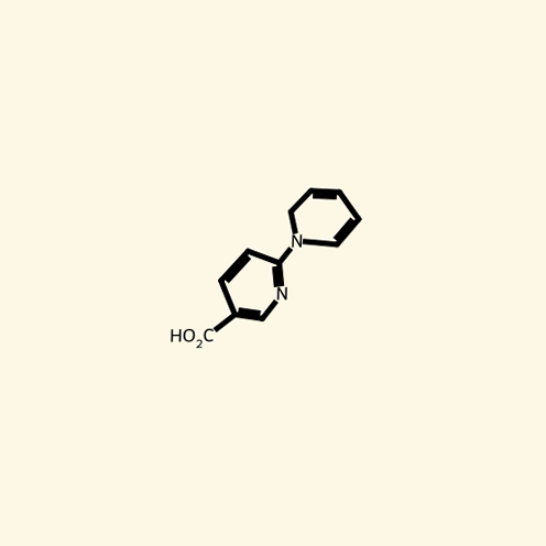 O=C(O)c1ccc(N2C=CC=CC2)nc1